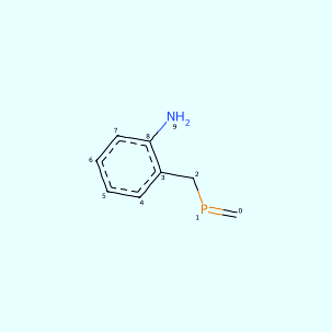 C=PCc1ccccc1N